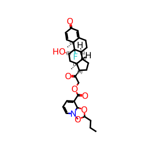 CCCC1OC2C(C(=O)OCC(=O)[C@@H]3CC[C@H]4[C@@H]5CCC6=CC(=O)C=C[C@]6(C)C5(F)[C@@H](O)C[C@]34C)=CC=CN2O1